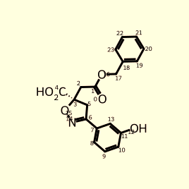 O=C(C[C@@]1(C(=O)O)CC(c2cccc(O)c2)=NO1)OCc1ccccc1